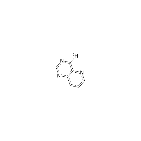 [2H]c1ncnc2cccnc12